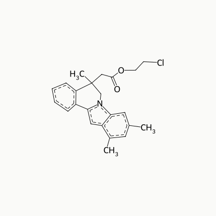 Cc1cc(C)c2cc3n(c2c1)CC(C)(CC(=O)OCCCl)c1ccccc1-3